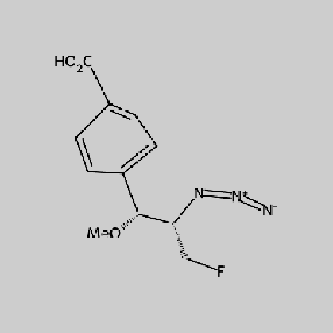 CO[C@H](c1ccc(C(=O)O)cc1)[C@@H](CF)N=[N+]=[N-]